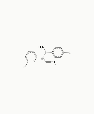 C=C[C@H](c1cccc(Cl)c1)C(N)c1ccc(Cl)cc1